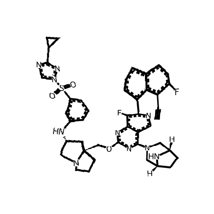 C#Cc1c(F)ccc2cccc(-c3ncc4c(N5C[C@H]6CC[C@@H](C5)N6)nc(OC[C@@]56CCCN5C[C@H](Nc5cccc(S(=O)(=O)n7cnc(C8CC8)n7)c5)C6)nc4c3F)c12